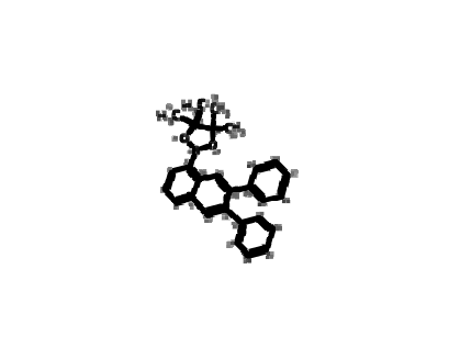 CC1(C)OB(c2cccc3cc(-c4ccccc4)c(-c4ccccc4)cc23)OC1(C)C